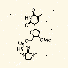 CO[C@@H]1C[C@H](C2C=C(C)C(=O)NC2=O)O[C@@H]1COP(=O)(S)N=C1N(C)CCN1C